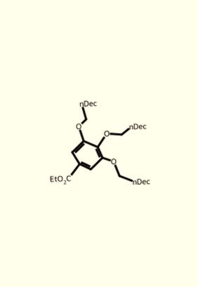 CCCCCCCCCCCOc1cc(C(=O)OCC)cc(OCCCCCCCCCCC)c1OCCCCCCCCCCC